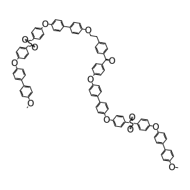 COc1ccc(-c2ccc(Oc3ccc(S(=O)(=O)c4ccc(Oc5ccc(-c6ccc(OCCc7ccc(C(=O)c8ccc(Oc9ccc(-c%10ccc(Oc%11ccc(S(=O)(=O)c%12ccc(Oc%13ccc(-c%14ccc(OC)cc%14)cc%13)cc%12)cc%11)cc%10)cc9)cc8)cc7)cc6)cc5)cc4)cc3)cc2)cc1